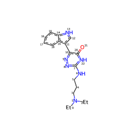 CCN(CC)CCCNc1nnc(-c2c[nH]c3ccccc23)c(=O)[nH]1